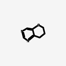 c1ncc2c(n1)CCCO2